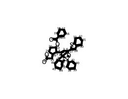 CC(C)(C)[Si](OC(C=CC1C(OC(=O)c2ccccc2)CC2OC(=O)CC21)c1cc2ccccc2s1)(c1ccccc1)c1ccccc1